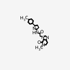 Cc1ccc(C2=CCC(NC(=O)Cn3cnc4ccn(C)c(=O)c43)=N2)cc1